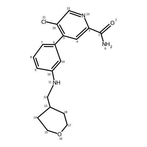 NC(=O)c1cc(-c2cccc(NCC3CCOCC3)c2)c(Cl)cn1